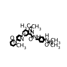 CC(C)n1nc(C(=O)NCc2ccc(NC(=O)N(C)C)cc2)c2c1CCN(c1ccc(N3C(=O)CCC[C@@H]3C)cn1)C2